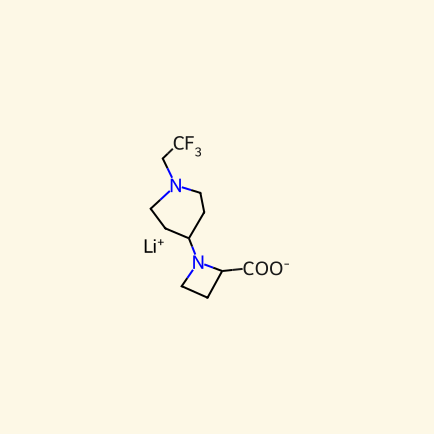 O=C([O-])C1CCN1C1CCN(CC(F)(F)F)CC1.[Li+]